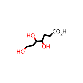 O=C(O)CCC(O)C(O)CCO